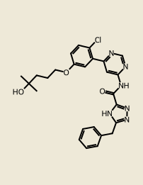 CC(C)(O)CCCOc1ccc(Cl)c(-c2cc(NC(=O)c3nnc(Cc4ccccc4)[nH]3)ncn2)c1